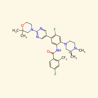 C[C@H]1CN(c2cc(F)c(-c3cnc(N4CCOC(C)(C)C4)nc3)cc2NC(=O)c2ccc(F)cc2C(F)(F)F)CCN1C